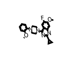 COc1cc2nc(C3CC3)nc(N3CCN(c4ccccc4OC)CC3)c2cc1F